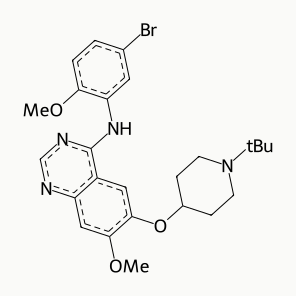 COc1ccc(Br)cc1Nc1ncnc2cc(OC)c(OC3CCN(C(C)(C)C)CC3)cc12